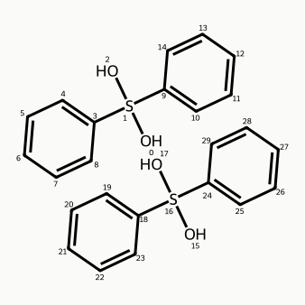 OS(O)(c1ccccc1)c1ccccc1.OS(O)(c1ccccc1)c1ccccc1